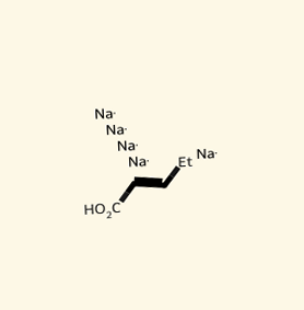 CCC=CC(=O)O.[Na].[Na].[Na].[Na].[Na]